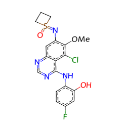 COc1c(N=S2(=O)CCC2)cc2ncnc(Nc3ccc(F)cc3O)c2c1Cl